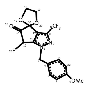 COc1ccc(Cn2nc(C(F)(F)F)c3c2C(F)C(=O)C32OCCO2)cc1